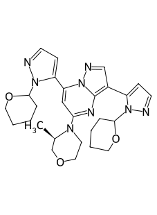 C[C@@H]1COCCN1c1cc(-c2ccnn2C2CCCCO2)n2ncc(-c3ccnn3C3CCCCO3)c2n1